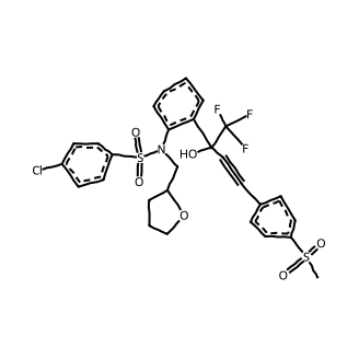 CS(=O)(=O)c1ccc(C#CC(O)(c2ccccc2N(CC2CCCO2)S(=O)(=O)c2ccc(Cl)cc2)C(F)(F)F)cc1